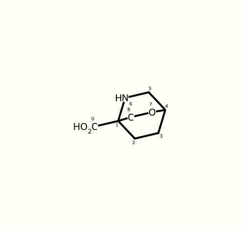 O=C(O)C12CCC(CN1)OC2